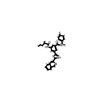 CCCC(C)C(=O)Nc1cc(C(=O)N[C@H](C)c2ccc(F)cc2)cc(-c2c[nH]c(-c3cc4ccccc4cn3)n2)c1